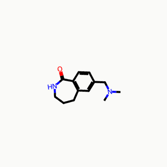 CN(C)Cc1ccc2c(c1)CCCNC2=O